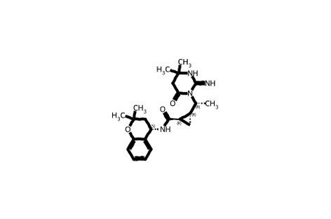 C[C@H]([C@@H]1C[C@H]1C(=O)N[C@H]1CC(C)(C)Oc2ccccc21)N1C(=N)NC(C)(C)CC1=O